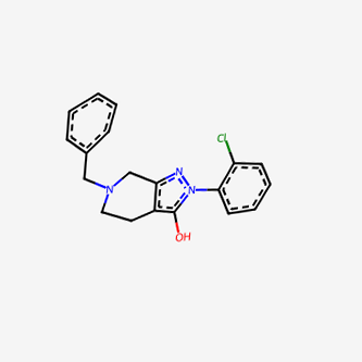 Oc1c2c(nn1-c1ccccc1Cl)CN(Cc1ccccc1)CC2